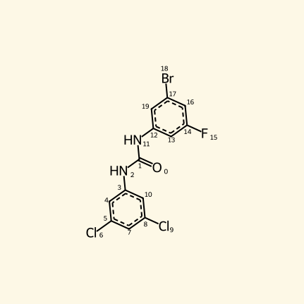 O=C(Nc1cc(Cl)cc(Cl)c1)Nc1cc(F)cc(Br)c1